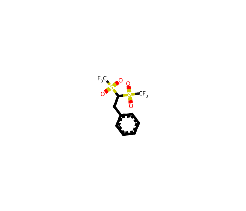 O=S(=O)(C(Cc1ccccc1)S(=O)(=O)C(F)(F)F)C(F)(F)F